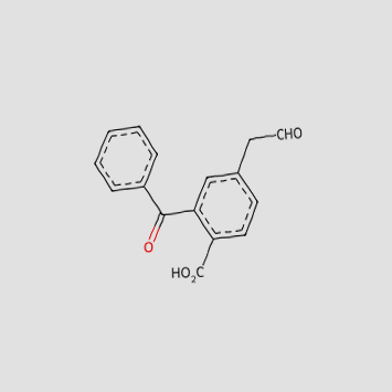 O=CCc1ccc(C(=O)O)c(C(=O)c2ccccc2)c1